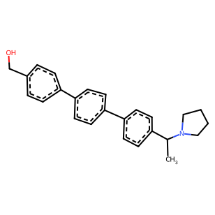 CC(c1ccc(-c2ccc(-c3ccc(CO)cc3)cc2)cc1)N1CCCC1